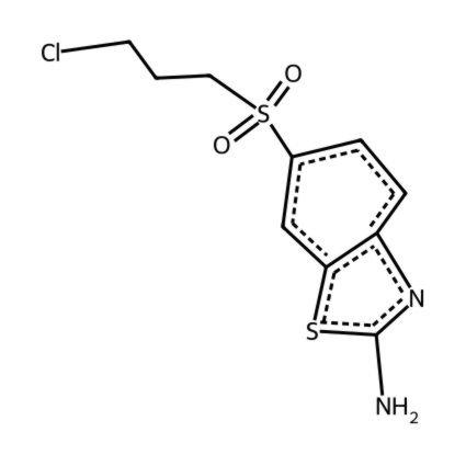 Nc1nc2ccc(S(=O)(=O)CCCCl)cc2s1